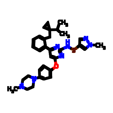 CC(C)C1(Cc2ccccc2-c2cc(Oc3ccc(N4CCN(C)CC4)cc3)nc(NSc3cnn(C)c3)n2)CC1